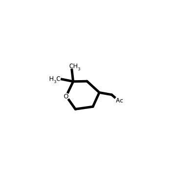 CC(=O)CC1CCOC(C)(C)C1